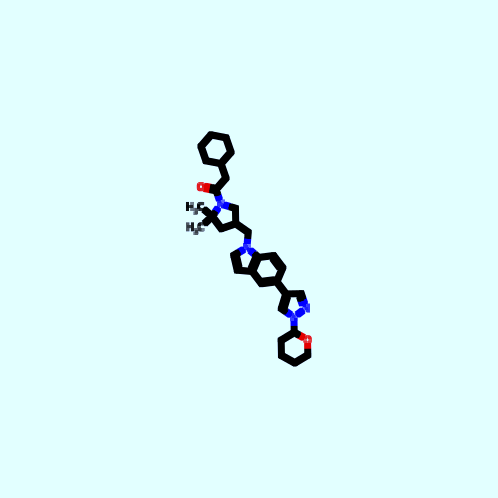 CC1(C)CC(Cn2ccc3cc(-c4cnn(C5CCCCO5)c4)ccc32)CN1C(=O)CC1CCCCC1